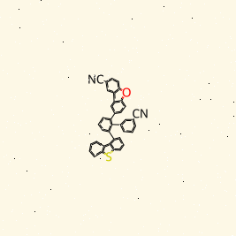 N#Cc1cccc(-c2c(-c3ccc4oc5ccc(C#N)cc5c4c3)cccc2-c2cccc3sc4ccccc4c23)c1